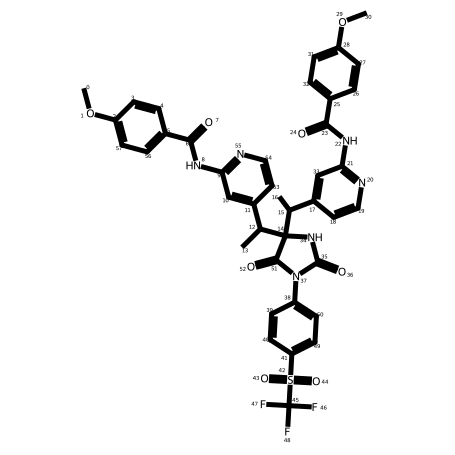 COc1ccc(C(=O)Nc2cc(C(C)C3(C(C)c4ccnc(NC(=O)c5ccc(OC)cc5)c4)NC(=O)N(c4ccc(S(=O)(=O)C(F)(F)F)cc4)C3=O)ccn2)cc1